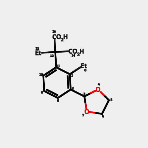 CCc1c(C2OCCO2)cccc1C(CC)(C(=O)O)C(=O)O